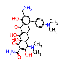 CN(C)c1ccc(-c2cc(CN)c(O)c3c2CC2CC4C(N(C)C)C(O)=C(C(N)=O)C(=O)C4(O)C(O)=C2C3=O)cc1